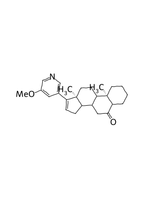 COc1cncc(C2=CCC3C4CC(=O)C5CCCC[C@]5(C)C4CC[C@]23C)c1